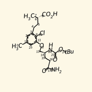 Cc1cc(CC[C@H](C)C(=O)O)c(Cl)c(OC[C@H](CCC(N)=O)NC(=O)OC(C)(C)C)c1